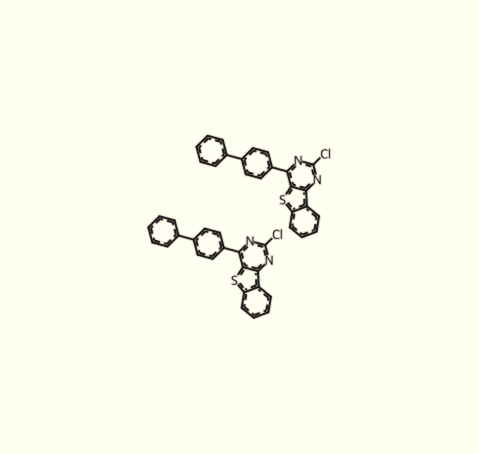 Clc1nc(-c2ccc(-c3ccccc3)cc2)c2sc3ccccc3c2n1.Clc1nc(-c2ccc(-c3ccccc3)cc2)c2sc3ccccc3c2n1